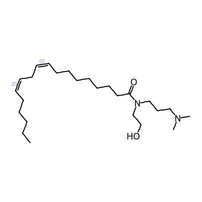 CCCCC/C=C\C/C=C\CCCCCCCC(=O)N(CCO)CCCN(C)C